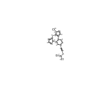 CCN(CC)CC#Cc1ccc2c(c1)-c1ncnn1Cc1c(Cl)ncn1-2